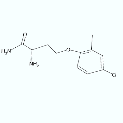 Cc1cc(Cl)ccc1OCC[C@H](N)C(N)=O